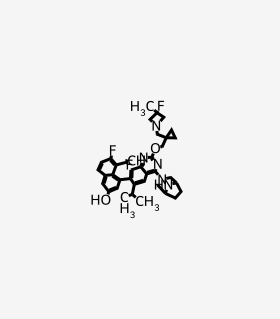 C#Cc1c(F)ccc2cc(O)cc(-c3c(C(C)C)cc4c(N5CC6CCC(C5)N6)nc(OCC5(CN6CC(C)(F)C6)CC5)nc4c3F)c12